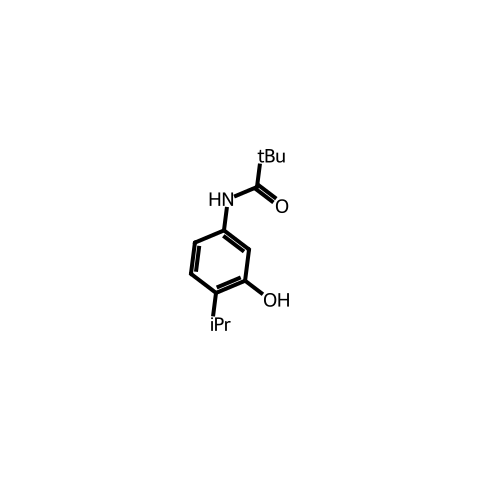 CC(C)c1ccc(NC(=O)C(C)(C)C)cc1O